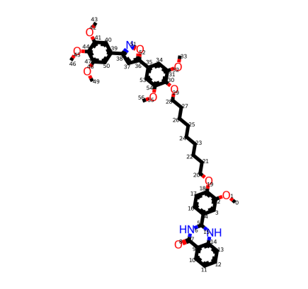 COc1cc(C2NC(=O)c3ccccc3N2)ccc1OCCCCCCCCCOc1c(OC)cc(-c2cc(-c3cc(OC)c(OC)c(OC)c3)no2)cc1OC